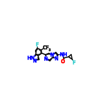 O=C(Nc1cn2cc(-c3c(C(F)(F)F)c(F)cc4[nH]ncc34)ncc2n1)C1CC1F